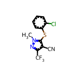 Cn1nc(C(F)(F)F)c(C#N)c1Sc1ccccc1Cl